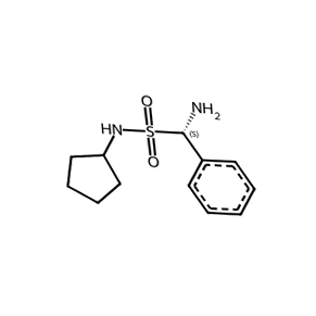 N[C@H](c1ccccc1)S(=O)(=O)NC1CCCC1